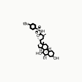 CC[C@@H]1C2C[C@H](O)CC[C@]2(C)[C@H]2CCC3(C)[C@@H]([C@H](C)C[C@H](C)C(=O)NS(=O)(=O)c4ccc(C(C)(C)C)cc4)CC[C@H]3C2[C@@H]1O